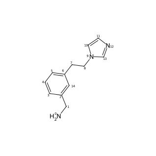 NCc1cccc(CCn2ccnc2)c1